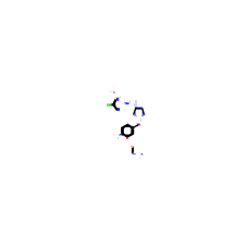 CCOc1nc(N[C@@H]2CCN(C(=O)c3ccc(N)c(OCCN(C)C)c3)C2)ncc1Cl